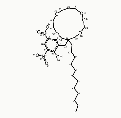 CCCCCCCCCCCCC1(Cc2cc([N+](=O)[O-])cc([N+](=O)[O-])c2O)COCCOCCCOCCOC1